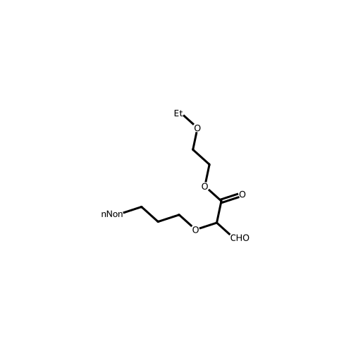 CCCCCCCCCCCCOC(C=O)C(=O)OCCOCC